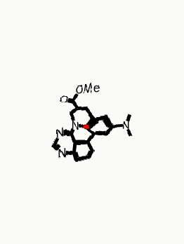 COC(=O)C1CCCN(c2ncnc3cccc(-c4cccc(N(C)C)c4)c23)C1